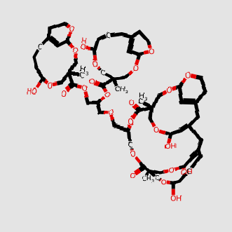 CC12COC(O)/C=C(/CCCC(O)OC1)C/C1=C/C(O)OCC(C)(COC3C=C(CCO3)C1)C(=O)OC(COCC(COC(=O)C1(C)COC(O)CCCC3=CC(OCC3)OC1)OC(=O)C1(C)COC(O)CCCC3=CC(OCC3)OC1)COC2=O